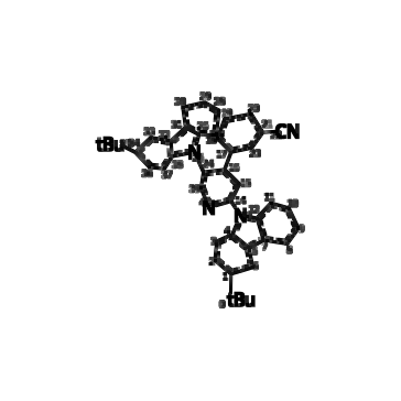 CC(C)(C)c1ccc2c(c1)c1ccccc1n2-c1cc(-c2cccc(C#N)c2)c(-n2c3ccccc3c3cc(C(C)(C)C)ccc32)cn1